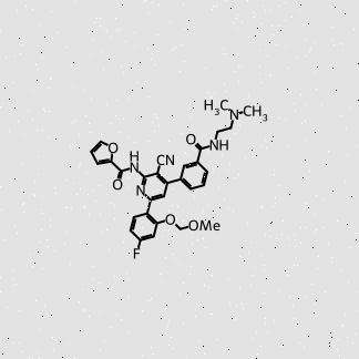 COCOc1cc(F)ccc1-c1cc(-c2cccc(C(=O)NCCN(C)C)c2)c(C#N)c(NC(=O)c2ccco2)n1